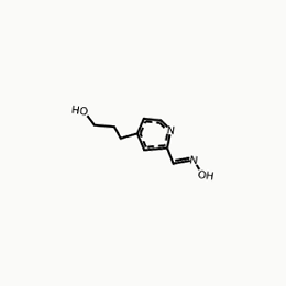 OCCCc1ccnc(/C=N/O)c1